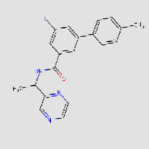 Cc1ccc(-c2cc(I)cc(C(=O)NC(C)c3cnccn3)c2)cc1